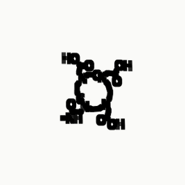 CNC(=O)CN1CCCN(CC(=O)O)CCN(CC(=O)O)CCCN(CC(=O)O)CC1